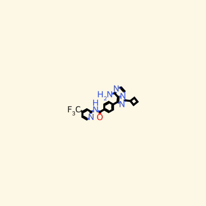 Nc1nccn2c(C3CCC3)nc(-c3ccc(C(=O)Nc4cc(C(F)(F)F)ccn4)cc3)c12